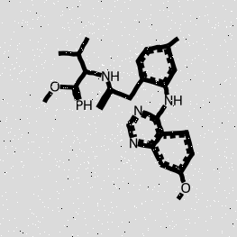 C=C(Cc1ccc(C)cc1Nc1ncnc2cc(OC)ccc12)NC(C(=P)OC)C(C)C